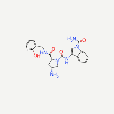 NC(=O)n1cc(NC(=O)N2C[C@@H](N)C[C@H]2C(=O)NCc2ccccc2O)c2ccccc21